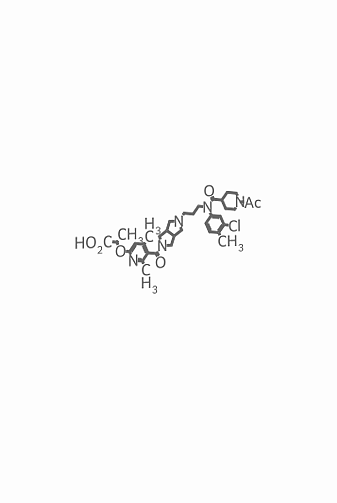 CC(=O)N1CCC(C(=O)N(CCCN2CC3CN(C(=O)c4c(C)cc(OC(C)C(=O)O)nc4C)CC3C2)c2ccc(C)c(Cl)c2)CC1